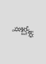 COCC1CN(S(=O)(=O)c2cc3ccc(Cl)cc3s2)CC(=O)N1Cc1cc2cnccc2[nH]1